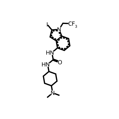 CN(C)C1CCC(NC(=O)Nc2cccc3c2cc(I)n3CC(F)(F)F)CC1